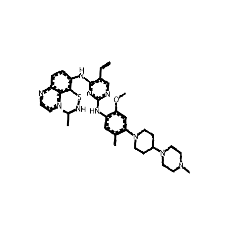 C=Cc1cnc(Nc2cc(C)c(N3CCC(N4CCN(C)CC4)CC3)cc2OC)nc1Nc1ccc2nccnc2c1SNC(C)C